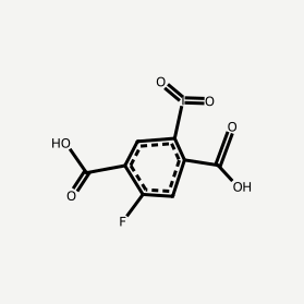 O=C(O)c1cc(I(=O)=O)c(C(=O)O)cc1F